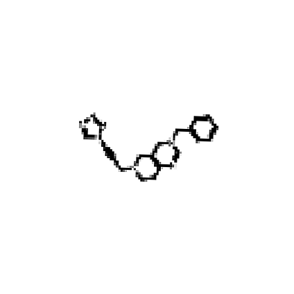 C(#Cn1cnnn1)CN1CCC2=C(CN(Cc3ccccc3)C=N2)C1